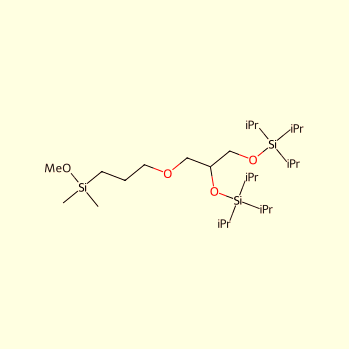 CO[Si](C)(C)CCCOCC(CO[Si](C(C)C)(C(C)C)C(C)C)O[Si](C(C)C)(C(C)C)C(C)C